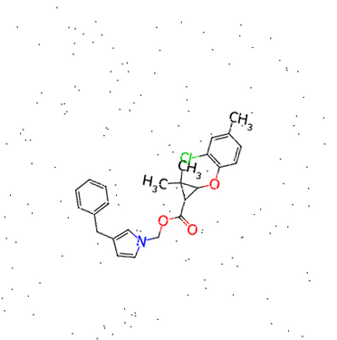 Cc1ccc(OC2C(C(=O)OCn3ccc(Cc4ccccc4)c3)C2(C)C)c(Cl)c1